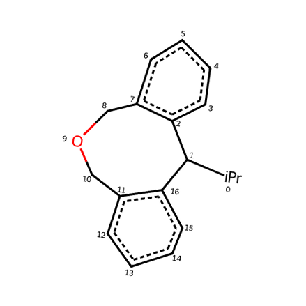 CC(C)C1c2ccccc2COCc2ccccc21